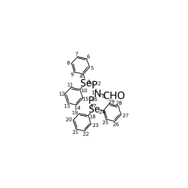 O=CN(P=[Se](c1ccccc1)c1ccccc1)P=[Se](c1ccccc1)c1ccccc1